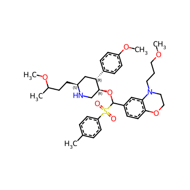 COCCCN1CCOc2ccc(C(O[C@H]3CN[C@@H](CCC(C)OC)C[C@@H]3c3ccc(OC)cc3)S(=O)(=O)c3ccc(C)cc3)cc21